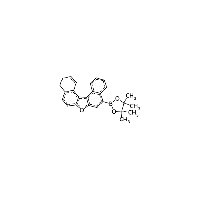 CC1(C)OB(c2cc3oc4ccc5c(c4c3c3ccccc23)C=CCC5)OC1(C)C